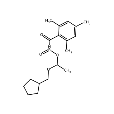 Cc1cc(C)c(C(=O)[PH](=O)OC(C)OCC2CCCC2)c(C)c1